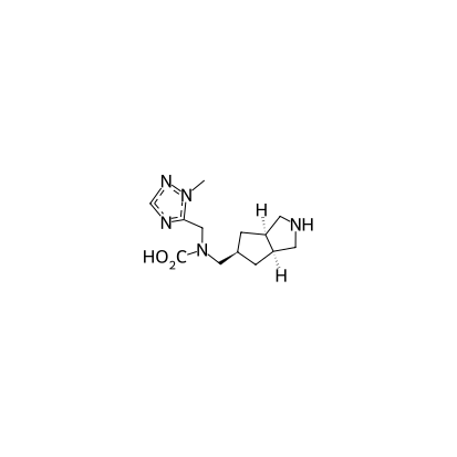 Cn1ncnc1CN(C[C@H]1C[C@H]2CNC[C@H]2C1)C(=O)O